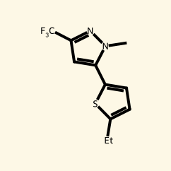 CCc1ccc(-c2cc(C(F)(F)F)nn2C)s1